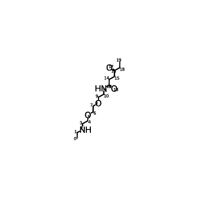 CCNCCOCCOCCNC(=O)CCC(=O)CC